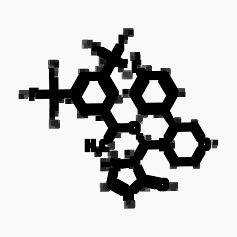 CC(O[C@H](N1CCOC[C@@H]1c1ccc(F)cc1)n1[nH]cnc1=O)c1cc(C(F)(F)F)cc(C(F)(F)F)c1